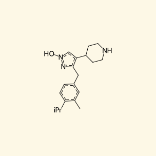 Cc1cc(Cc2nn(O)cc2C2CCNCC2)ccc1C(C)C